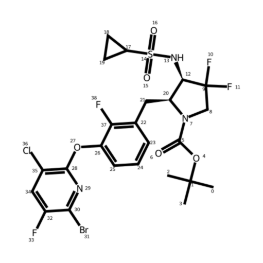 CC(C)(C)OC(=O)N1CC(F)(F)[C@H](NS(=O)(=O)C2CC2)[C@@H]1Cc1cccc(Oc2nc(Br)c(F)cc2Cl)c1F